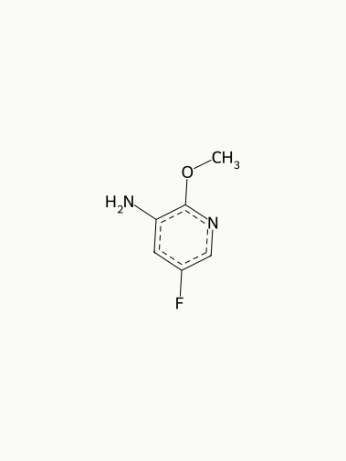 COc1ncc(F)cc1N